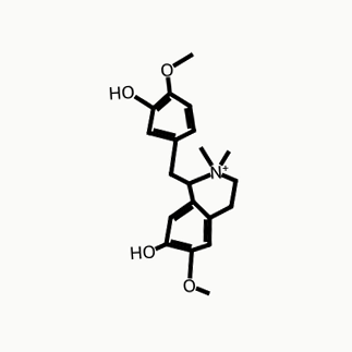 COc1ccc(CC2c3cc(O)c(OC)cc3CC[N+]2(C)C)cc1O